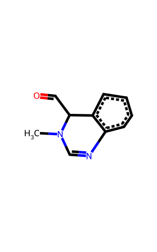 CN1C=Nc2ccccc2C1C=O